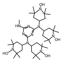 CNc1nc(N(C2CC(C)(C)N(O)C(C)(C)C2)C2CC(C)(C)N(O)C(C)(C)C2)nc(N(C2CC(C)(C)N(O)C(C)(C)C2)C2CC(C)(C)N(O)C(C)(C)C2)n1